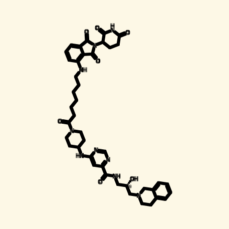 O=C1CCC(N2C(=O)c3cccc(NCCCCCCC(=O)N4CCC(Nc5cc(C(=O)NC[C@H](O)CN6CCc7ccccc7C6)ncn5)CC4)c3C2=O)C(=O)N1